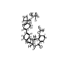 CN1C(=O)c2cccc(OC(F)F)c2[C@H]2C[C@@H]1c1nc3ccc(-c4ccc(C5(N[S+]([O-])C(C)(C)C)CCC5)nc4)cc3n12